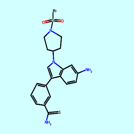 CC(C)S(=O)(=O)N1CCC(n2cc(-c3cccc(C(N)=S)c3)c3ccc(N)cc32)CC1